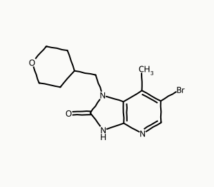 Cc1c(Br)cnc2[nH]c(=O)n(CC3CCOCC3)c12